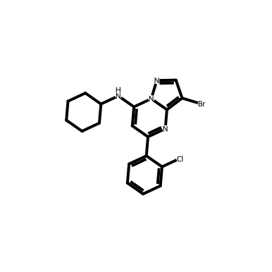 Clc1ccccc1-c1cc(NC2CCCCC2)n2ncc(Br)c2n1